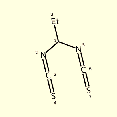 CCC(N=C=S)N=C=S